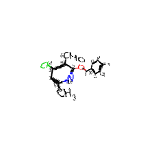 Cc1cc(Cl)c(C=O)c(OCc2ccccc2)n1